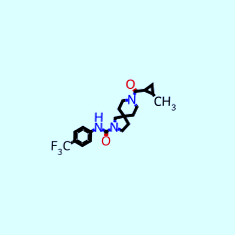 CC1CC1C(=O)N1CCC2(CCN(C(=O)Nc3ccc(C(F)(F)F)cc3)C2)CC1